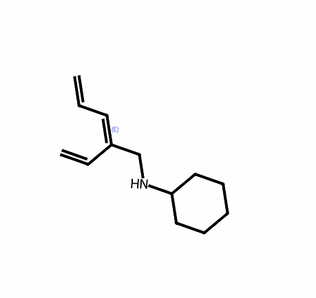 C=C/C=C(\C=C)CNC1CCCCC1